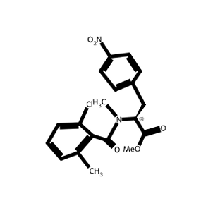 COC(=O)[C@H](Cc1ccc([N+](=O)[O-])cc1)N(C)C(=O)c1c(C)cccc1Cl